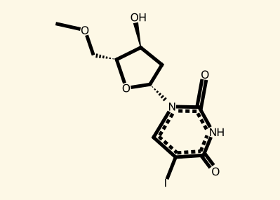 COC[C@H]1O[C@@H](n2cc(I)c(=O)[nH]c2=O)C[C@@H]1O